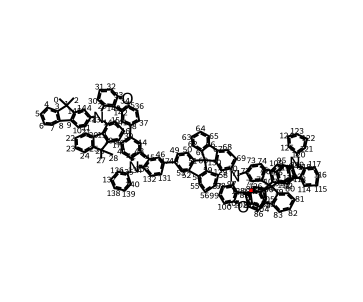 CC1(C)c2ccccc2-c2ccc(N(c3cccc4c3-c3ccccc3C4(C)C)c3cccc4oc5ccc(-c6ccc7c(c6)c6cc(-c8ccc9c(c8)-c8ccccc8C98c9ccccc9-c9ccc(N(c%10ccc%11c(c%10)C%10(c%12ccccc%12-c%12ccccc%12%10)c%10ccccc%10-%11)c%10cccc%11oc%12ccc(-c%13ccc%14c(c%13)c%13ccccc%13n%14-c%13ccccc%13)cc%12c%10%11)cc98)ccc6n7-c6ccccc6)cc5c34)cc21